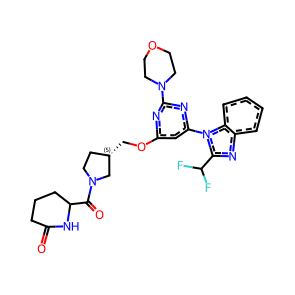 O=C1CCCC(C(=O)N2CC[C@H](COc3cc(-n4c(C(F)F)nc5ccccc54)nc(N4CCOCC4)n3)C2)N1